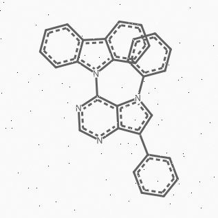 c1ccc(-c2cn(-c3ccccc3)c3c(-n4c5ccccc5c5ccccc54)ncnc23)cc1